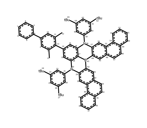 Cc1cc(-c2ccccc2)cc(C)c1-c1cc2c3c(c1)N(c1cc(C(C)(C)C)cc(C(C)(C)C)c1)c1cc4c(ccc5ccccc54)cc1B3c1cc3ccc4ccccc4c3cc1N2c1cc(C(C)(C)C)cc(C(C)(C)C)c1